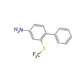 Nc1ccc(-c2ccccc2)c(SC(F)(F)F)c1